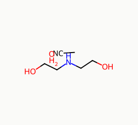 CC#N.O.OCCNCCO